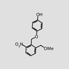 COCc1cccc([N+](=O)[O-])c1COc1ccc(O)cc1